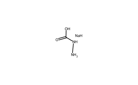 NNC(=O)O.[NaH]